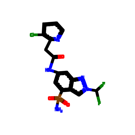 NS(=O)(=O)c1cc(NC(=O)Cc2ncccc2Cl)cc2nn(C(F)F)cc12